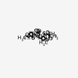 CCN1C(=O)C(C)(C)C(=O)N(C)c2cc(CN(CCn3ccc4oc(C)cc4c3=O)Cc3cocn3)ccc21